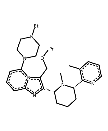 CCN1CCN(c2cccc3nc([C@H]4CCC[C@@H](c5ncccc5C)N4C)c(COC(C)C)n23)CC1